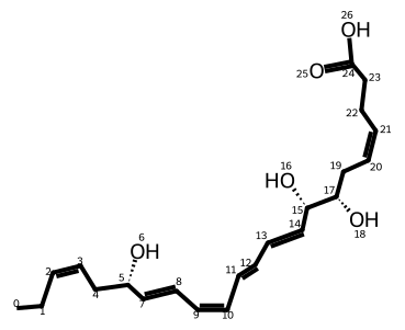 CC/C=C\C[C@H](O)/C=C/C=C\C=C\C=C\[C@H](O)[C@@H](O)C/C=C\CCC(=O)O